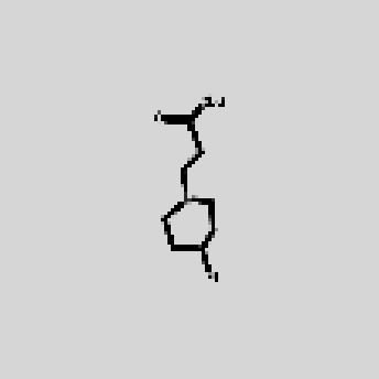 CCC1CCN(CCC(=O)C(C)(C)C)CC1